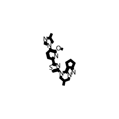 COc1nc(-c2nc(N3CC(C)Cn4nc5c(c43)CCC5)cs2)ccc1N1C=NC(C)C1